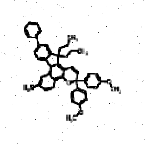 CCCC1(CCC)c2cc(-c3ccccc3)ccc2-c2c1c1c(c3ccc(N)cc23)OC(c2ccc(OC)cc2)(c2ccc(OC)cc2)C=C1